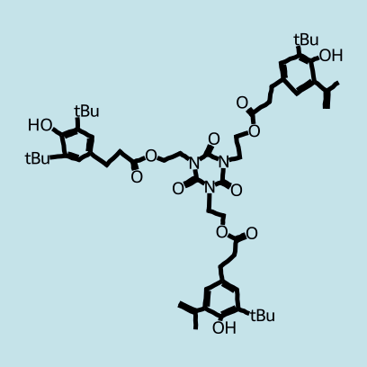 C=C(C)c1cc(CCC(=O)OCCn2c(=O)n(CCOC(=O)CCc3cc(C(=C)C)c(O)c(C(C)(C)C)c3)c(=O)n(CCOC(=O)CCc3cc(C(C)(C)C)c(O)c(C(C)(C)C)c3)c2=O)cc(C(C)(C)C)c1O